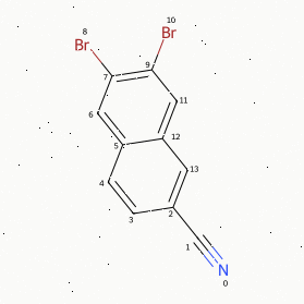 N#Cc1ccc2cc(Br)c(Br)cc2c1